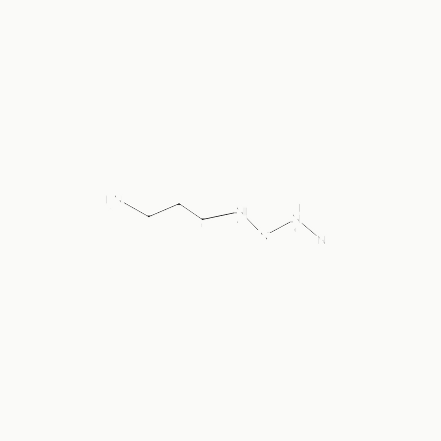 NCCCNNNN